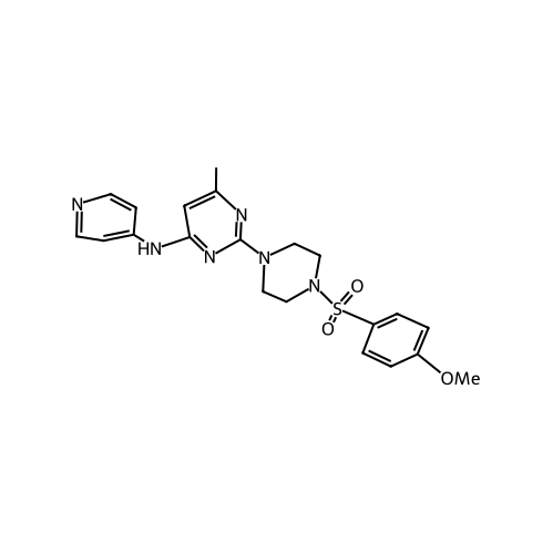 COc1ccc(S(=O)(=O)N2CCN(c3nc(C)cc(Nc4ccncc4)n3)CC2)cc1